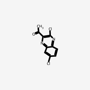 CC(=O)c1nc2cc(Cl)ccc2nc1Cl